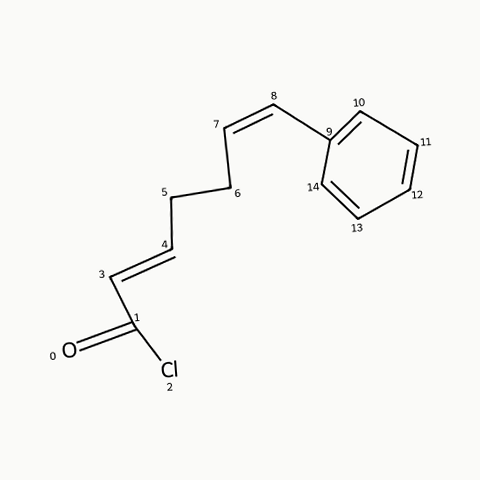 O=C(Cl)/C=C/CC/C=C\c1ccccc1